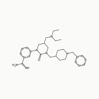 CCN(CC)CC1CN(CC2CCN(Cc3ccccc3)CC2)C(=O)N(c2cccc(C(=N)N)c2)C1